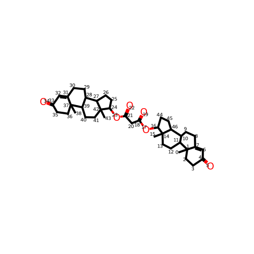 CC12CCC(=O)C=C1CCC1C2CCC2(C)C(OC(=O)CC(=O)OC3CCC4C5CCC6=CC(=O)CCC6(C)C5CCC34C)CCC12